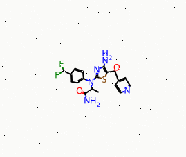 CC(C(N)=O)N(c1ccc(C(F)F)cc1)c1nc(N)c(C(=O)c2ccncc2)s1